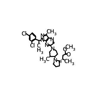 COC(=O)CC(C)[C@@H]1CCCN1C1CCN(c2cnc3c(C)nn(C(C)c4ccc(Cl)cc4Cl)c3n2)CC1C